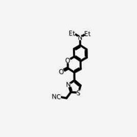 CCN(CC)c1ccc2cc(-c3csc(CC#N)n3)c(=O)oc2c1